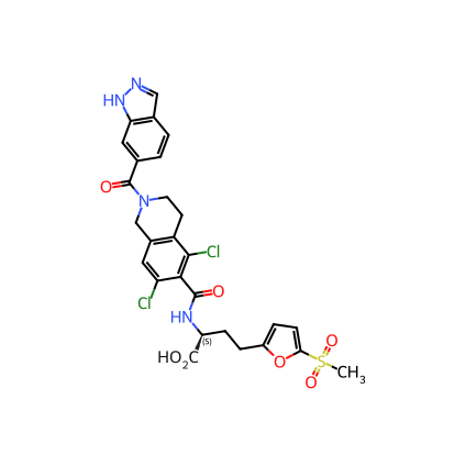 CS(=O)(=O)c1ccc(CC[C@H](NC(=O)c2c(Cl)cc3c(c2Cl)CCN(C(=O)c2ccc4cn[nH]c4c2)C3)C(=O)O)o1